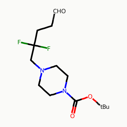 CC(C)(C)OC(=O)N1CCN(CC(F)(F)CCC=O)CC1